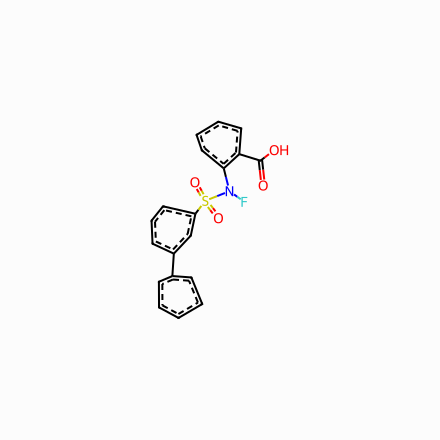 O=C(O)c1ccccc1N(F)S(=O)(=O)c1cccc(-c2ccccc2)c1